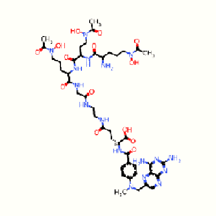 CC(=O)N(O)CCCC(N)C(=O)NC(CCN(O)C(C)=O)C(=O)NC(CCCN(O)C(C)=O)C(=O)NCC(=O)NCCNC(=O)CC[C@@H](NC(=O)c1ccc(N(C)Cc2cnc3nc(N)nc(N)c3n2)cc1)C(=O)O